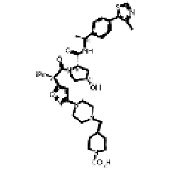 Cc1ncsc1-c1ccc([C@H](C)NC(=O)[C@@H]2C[C@@H](O)CN2C(=O)[C@@H](c2cc(N3CCN(CC4CCN(C(=O)O)CC4)CC3)no2)C(C)C)cc1